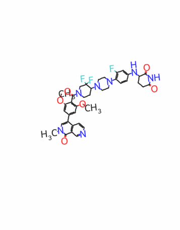 COc1cc(-c2cn(C)c(=O)c3cnccc23)cc(OC)c1C(=O)N1CCC(N2CCN(c3ccc(NC4CCC(=O)NC4=O)cc3F)CC2)C(F)(F)C1